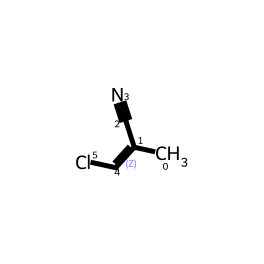 C/C(C#N)=C/Cl